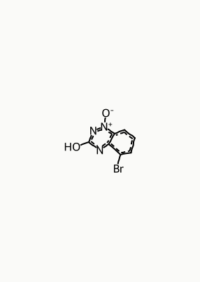 [O-][n+]1nc(O)nc2c(Br)cccc21